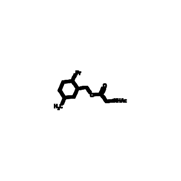 CC(=O)NCC(=O)OCC1CC(C)CCC1C(C)C